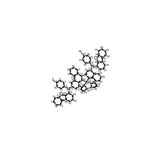 Cc1ccc(N(c2ccc3c4c(c5ccccc5c3c2)-c2cc(N(c3ccc(C)cc3)c3cccc5c3oc3ccccc35)c3ccccc3c2C42c3ccccc3-c3ccccc32)c2cccc3c2oc2ccccc23)cc1